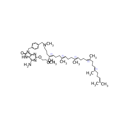 COCCOc1nc(N)c2[nH]c(=O)n(Cc3ccc(CN(C)CCC/C(C)=C/CC/C(C)=C/CC/C(C)=C/CC/C=C(\C)CC/C=C(\C)CCC=C(C)C)cc3)c2n1